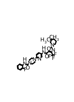 CC1(C)CCCN(c2nc(C(F)(F)F)c(C(=O)Nc3ccc(N4CCN(C(=O)Nc5ccccc5F)CC4)nc3)o2)C1